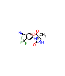 C[C@]1(C(=O)O)CNC(=O)N1c1ccc(C#N)c(C(F)(F)F)c1